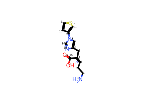 NCC/C=C(/Cc1cn(-c2ccsc2)cn1)C(=O)O